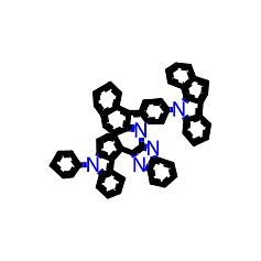 c1ccc(-n2c3ccccc3c3c(-c4nc5ccccc5nc4-n4c5cc(-n6c7ccccc7c7ccc8ccccc8c76)ccc5c5c6ccccc6ccc54)cccc32)cc1